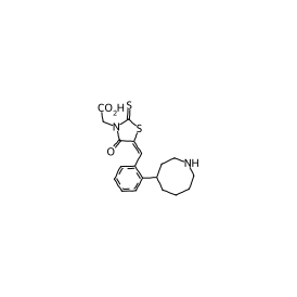 O=C(O)CN1C(=O)/C(=C\c2ccccc2C2CCCCNCC2)SC1=S